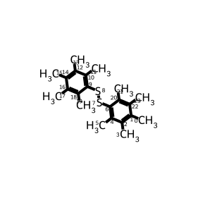 Cc1c(C)c(C)c(SSc2c(C)c(C)c(C)c(C)c2C)c(C)c1C